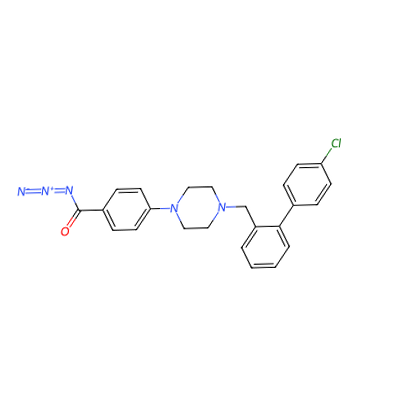 [N-]=[N+]=NC(=O)c1ccc(N2CCN(Cc3ccccc3-c3ccc(Cl)cc3)CC2)cc1